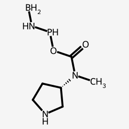 BNPOC(=O)N(C)[C@H]1CCNC1